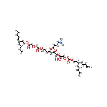 CCCCCC(CCCCC)CCOC(=O)COCC(=O)OCCCC(CCCOC(O)COCC(=O)OCCC(CCCCC)CCCCC)OC(=O)CCCN(C)C